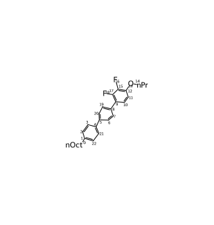 CCCCCCCCc1ccc(-c2ccc(-c3ccc(OCCC)c(F)c3F)cc2)cc1